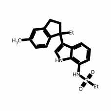 CCC1(c2c[nH]c3c(NS(=O)(=O)CC)cccc23)CCc2cc(C)ccc21